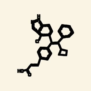 O=C(O)C=Cc1ccc(C(=C(c2ccccc2)C2CCC2)c2ccc3[nH]ncc3c2Cl)cc1